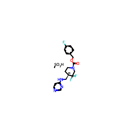 CS(=O)(=O)O.O=C(OCc1ccc(F)cc1)N1CC[C@H](CNc2ccncn2)C(F)(F)C1